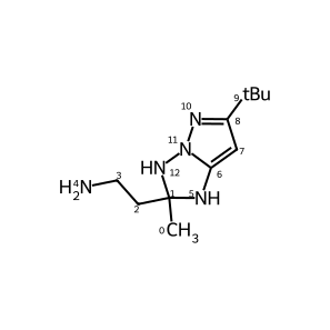 CC1(CCN)Nc2cc(C(C)(C)C)nn2N1